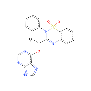 CC(Oc1ncnc2[nH]cnc12)C1=Nc2ccccc2S(=O)(=O)N1c1ccccc1